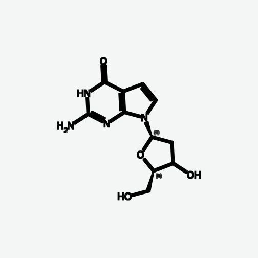 Nc1nc2c(ccn2[C@H]2CC(O)[C@@H](CO)O2)c(=O)[nH]1